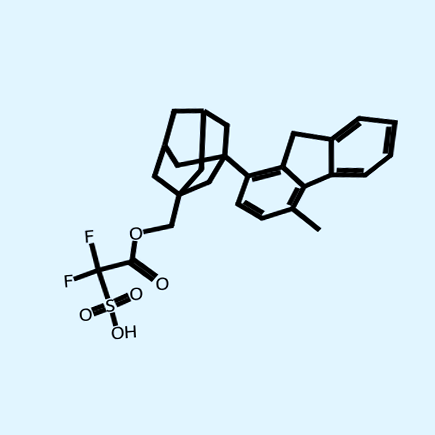 Cc1ccc(C23CC4CC(CC(COC(=O)C(F)(F)S(=O)(=O)O)(C4)C2)C3)c2c1-c1ccccc1C2